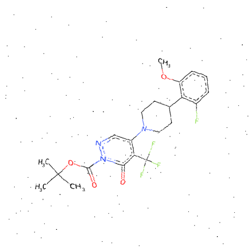 COc1cccc(F)c1C1CCN(c2cnn(C(=O)OC(C)(C)C)c(=O)c2C(F)(F)F)CC1